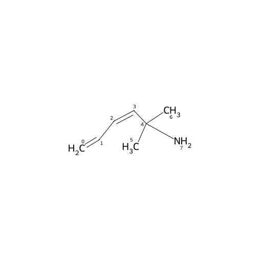 C=C/C=C\C(C)(C)N